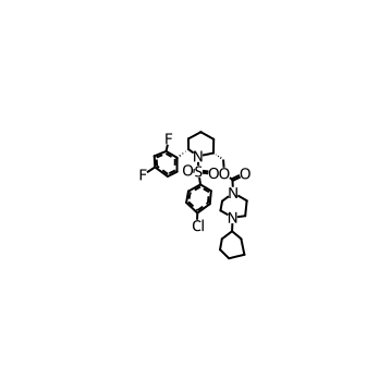 O=C(OC[C@H]1CCC[C@@H](c2ccc(F)cc2F)N1S(=O)(=O)c1ccc(Cl)cc1)N1CCN(C2CCCCC2)CC1